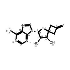 C=C1CC2(C1)O[C@@H](n1cnc3c(N)ncnc31)[C@H](O)[C@@H]2O